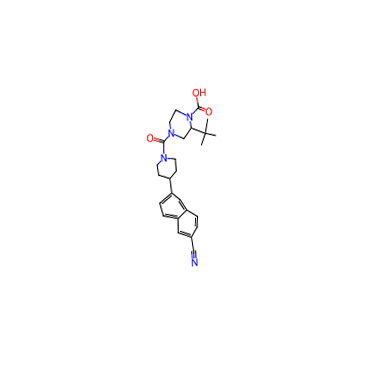 CC(C)(C)C1CN(C(=O)N2CCC(c3ccc4cc(C#N)ccc4c3)CC2)CCN1C(=O)O